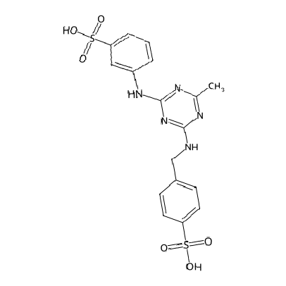 Cc1nc(NCc2ccc(S(=O)(=O)O)cc2)nc(Nc2cccc(S(=O)(=O)O)c2)n1